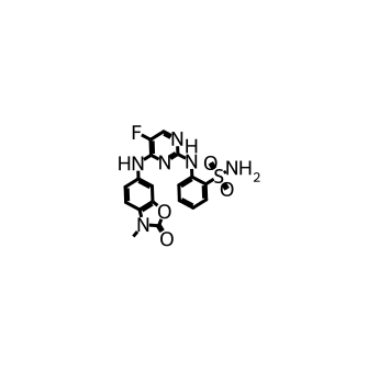 Cn1c(=O)oc2cc(Nc3nc(Nc4ccccc4S(N)(=O)=O)ncc3F)ccc21